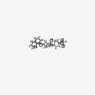 CS(=O)(=O)N1CCC(NC(=O)[C@H]2C[C@H](Oc3cccc4cccnc34)C2)CC1